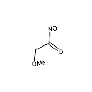 COCC(=O)N=O